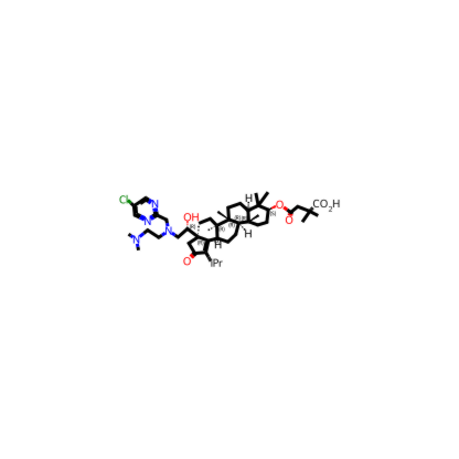 CC(C)C1=C2[C@H]3CC[C@@H]4[C@@]5(C)CC[C@H](OC(=O)CC(C)(C)C(=O)O)C(C)(C)[C@@H]5CC[C@@]4(C)[C@]3(C)CC[C@@]2([C@@H](O)CN(CCN(C)C)Cc2ncc(Cl)cn2)CC1=O